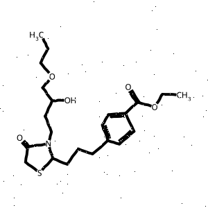 CCCOCC(O)CCN1C(=O)CSC1CCCc1ccc(C(=O)OCC)cc1